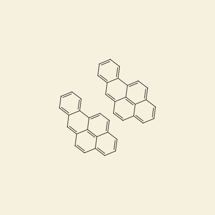 c1ccc2c(c1)cc1ccc3cccc4ccc2c1c34.c1ccc2c(c1)cc1ccc3cccc4ccc2c1c34